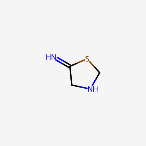 N=C1CNCS1